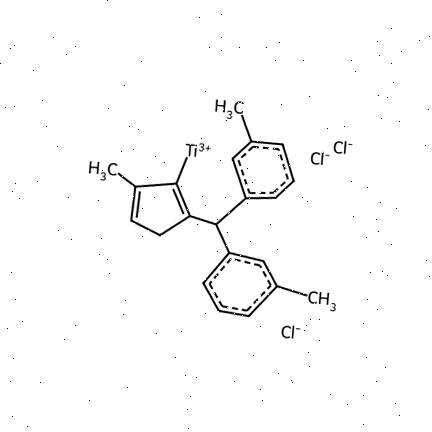 CC1=CCC(C(c2cccc(C)c2)c2cccc(C)c2)=[C]1[Ti+3].[Cl-].[Cl-].[Cl-]